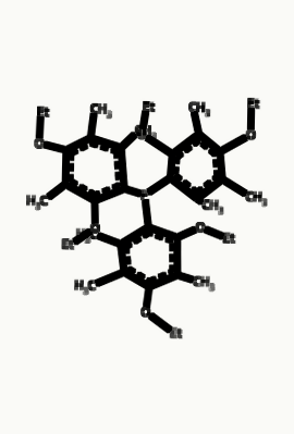 CCOc1c(C)c(C)c(P(c2c(C)c(C)c(OCC)c(C)c2OCC)c2c(C)c(C)c(OCC)c(C)c2OCC)c(OCC)c1C